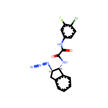 [N-]=[N+]=N[C@@H]1Cc2ccccc2[C@H]1NC(=O)C(=O)Nc1ccc(Cl)c(F)c1